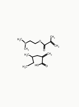 C=C(C)C(=O)OCCN(C)C.C=C(CC(C)CC)C(=O)O